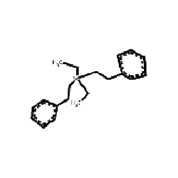 CC[Si](CC)(CCc1ccccc1)CCc1ccccc1